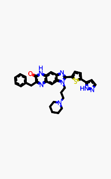 O=c1[nH]c2cc3nc(-c4ccc(-c5ccn[nH]5)s4)n(CCCN4CCCCC4)c3cc2nc1Cc1ccccc1